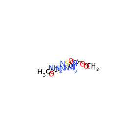 COCOCC1CC2COc3c(Sc4ncc(N5CCC6(CC5)COC(C)C6N)nc4N)ccnc3N2C1